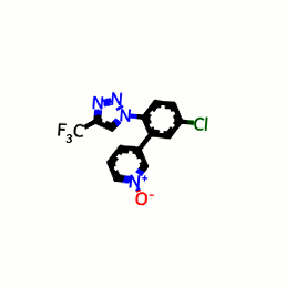 [O-][n+]1cccc(-c2cc(Cl)ccc2-n2cc(C(F)(F)F)nn2)c1